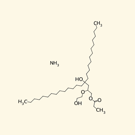 CCCCCCCCCCCCCCC(O)(CCCCCCCCCCCCCC)CC(COC(=O)CC)OCCO.N